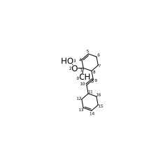 CC1(OO)C=CCCC1/C=C/C1CC=CCC1